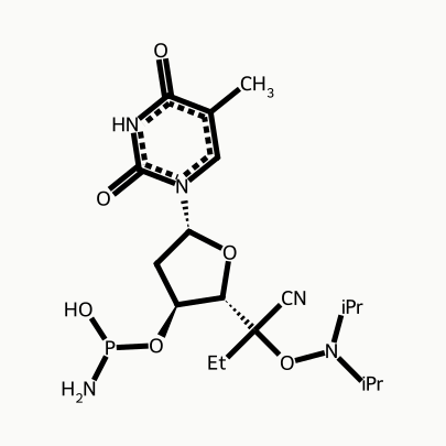 CCC(C#N)(ON(C(C)C)C(C)C)[C@H]1O[C@@H](n2cc(C)c(=O)[nH]c2=O)C[C@@H]1OP(N)O